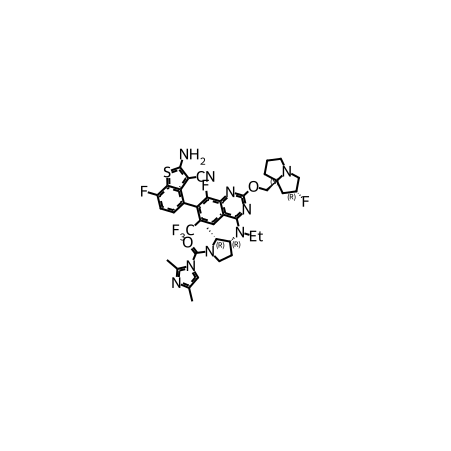 CCN(c1nc(OC[C@@]23CCCN2C[C@H](F)C3)nc2c(F)c(-c3ccc(F)c4sc(N)c(C#N)c34)c(C(F)(F)F)cc12)[C@@H]1CCN(C(=O)n2cc(C)nc2C)[C@@H]1C